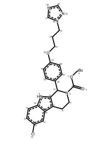 CCC(C)OC(=O)N1CCc2c([nH]c3ccc(Cl)cc23)C1c1ccc(OCCCn2cncn2)cc1